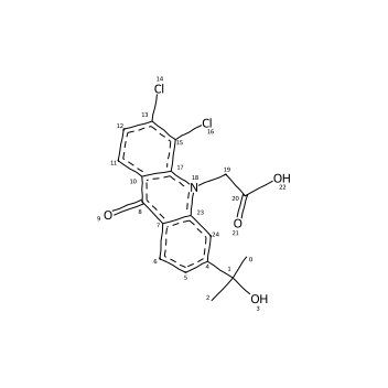 CC(C)(O)c1ccc2c(=O)c3ccc(Cl)c(Cl)c3n(CC(=O)O)c2c1